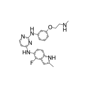 CNCCOc1cccc(Nc2nccc(Nc3ccc4[nH]c(C)cc4c3F)n2)c1